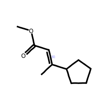 COC(=O)/C=C(\C)C1CCCC1